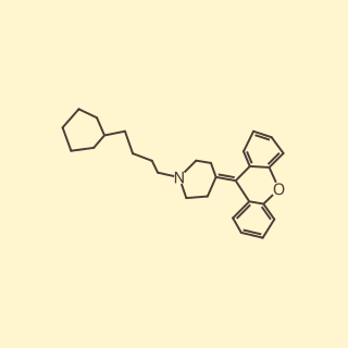 c1ccc2c(c1)Oc1ccccc1C2=C1CCN(CCCCC2CCCCC2)CC1